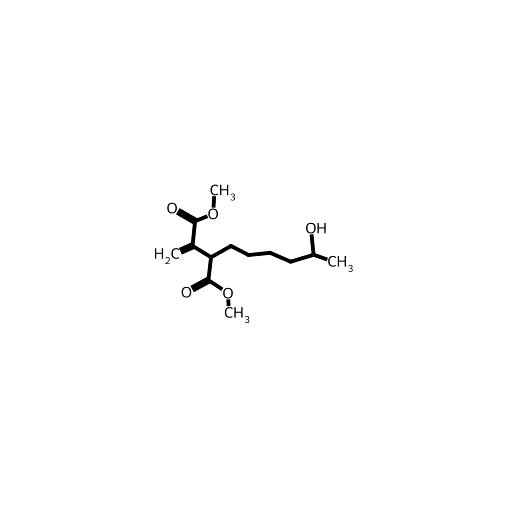 C=C(C(=O)OC)C(CCCCC(C)O)C(=O)OC